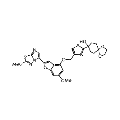 COc1cc(OCc2csc(C3(O)CCC4(CC3)OCCO4)n2)c2cc(-c3cnc4sc(OC)nn34)oc2c1